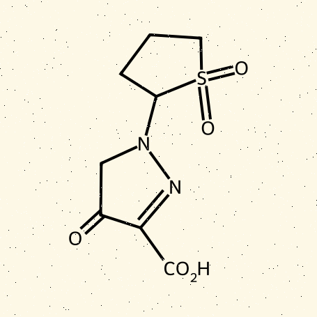 O=C(O)C1=NN(C2CCCS2(=O)=O)CC1=O